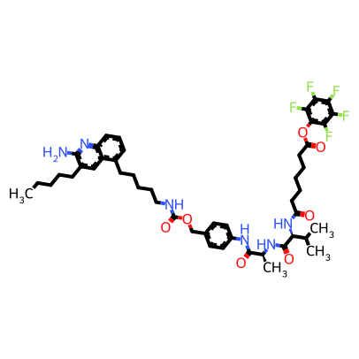 CCCCCc1cc2c(CCCCCNC(=O)OCc3ccc(NC(=O)[C@H](C)NC(=O)[C@@H](NC(=O)CCCCCC(=O)Oc4c(F)c(F)c(F)c(F)c4F)C(C)C)cc3)cccc2nc1N